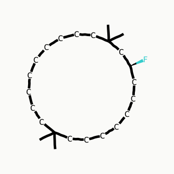 CC1(C)CCCCCCCCCC(C)(C)C[C@@H](F)CCCCCCC1